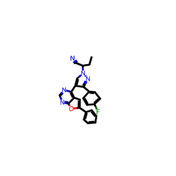 CCC(C#N)n1cc(-c2ncnc3oc(-c4ccccc4)cc23)c(-c2ccc(F)cc2)n1